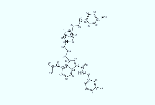 C=C(NCc1cccc(C)c1)c1cn(CCCN2CC3CCC2CN3CCOc2ccc(F)cc2)c2c(OC(C)C)cccc12